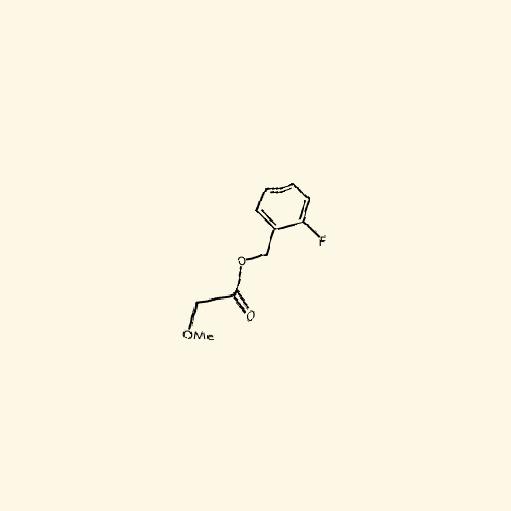 COCC(=O)OCc1ccccc1F